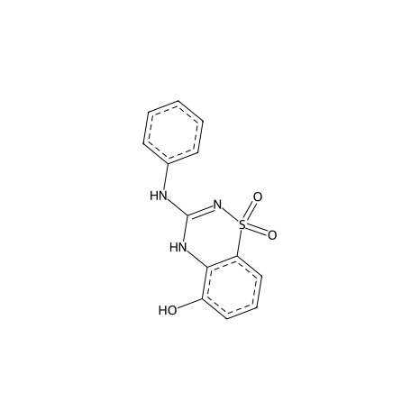 O=S1(=O)N=C(Nc2ccccc2)Nc2c(O)cccc21